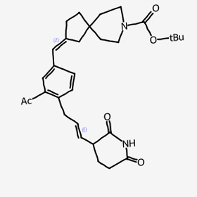 CC(=O)c1cc(/C=C2/CCC3(CCN(C(=O)OC(C)(C)C)CC3)C2)ccc1C/C=C/C1CCC(=O)NC1=O